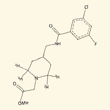 [2H]C1([2H])CC(CNC(=O)c2cc(F)cc(Cl)c2)CC([2H])([2H])N1CC(=O)OC